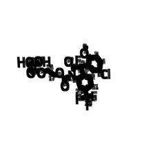 COc1ccc(Cl)cc1[C@]1(F)C(=O)N(C(=O)OCCOP(=O)(O)O)c2cc(C(F)(F)F)ccc21